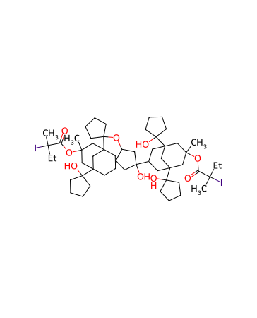 CCC(C)(I)C(=O)OC1(C)CC2(C3(O)CCCC3)CC(C3(O)CCC(OC4(C56CCCC(C7(O)CCCC7)(CC(C)(OC(=O)C(C)(I)CC)C5)C6)CCCC4)C3)CC(C3(O)CCCC3)(C1)C2